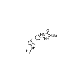 CN1CC=C2N(Cc3ccc(C(=N)NC(=O)OC(C)(C)C)cc3)CCN21